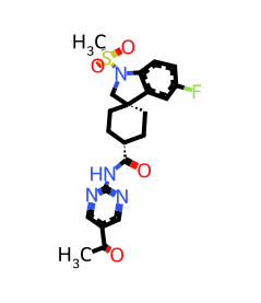 CC(=O)c1cnc(NC(=O)[C@H]2CC[C@]3(CC2)CN(S(C)(=O)=O)c2ccc(F)cc23)nc1